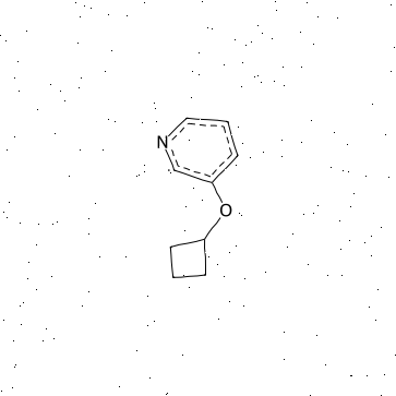 [c]1ncccc1OC1CCC1